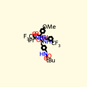 COc1ccc([C@H](NC(=O)[C@H](Cc2ccc(CNC(=O)OC(C)(C)C)cc2)NC(=O)c2cccc(C(F)(F)F)c2)C(=O)N[C@H](C(=O)C(F)(F)F)C(C)C)cc1